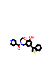 O=C(c1ccncc1)N1CCOc2c(O)cc(-c3csc4ccccc34)cc2C1